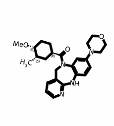 CO[C@@H]1CC[C@@H](C(=O)N2Cc3cccnc3Nc3ccc(N4CCOCC4)cc32)C[C@@H]1C